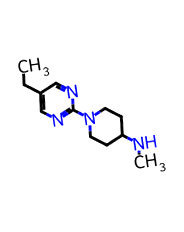 CCc1cnc(N2CCC(NC)CC2)nc1